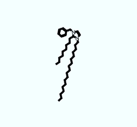 CCCCCCCCCCCCCCCCCCN1C=CN(Cc2ccccc2)C1CCCCCCCCC